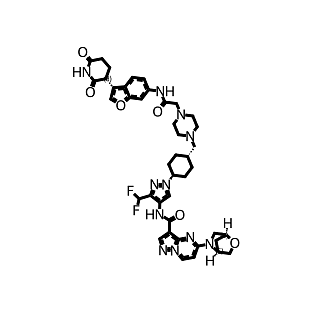 O=C1CC[C@H](c2coc3cc(NC(=O)CN4CCN(C[C@H]5CC[C@H](n6cc(NC(=O)c7cnn8ccc(N9C[C@@H]%10C[C@H]9CO%10)nc78)c(C(F)F)n6)CC5)CC4)ccc23)C(=O)N1